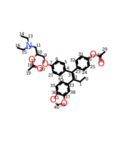 CC/C(=C(/c1ccc(OCC(CN(CC)CC)OC(C)=O)cc1)c1ccc(OC(C)=O)cc1)c1ccc2c(c1)OCO2